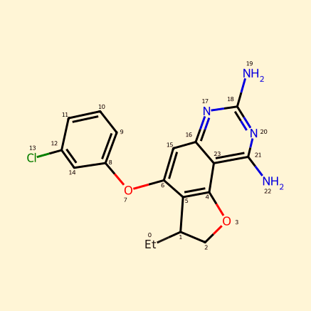 CCC1COc2c1c(Oc1cccc(Cl)c1)cc1nc(N)nc(N)c21